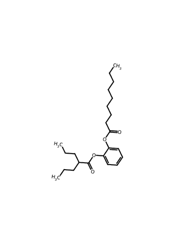 CCCCCCCCC(=O)Oc1ccccc1OC(=O)C(CCC)CCC